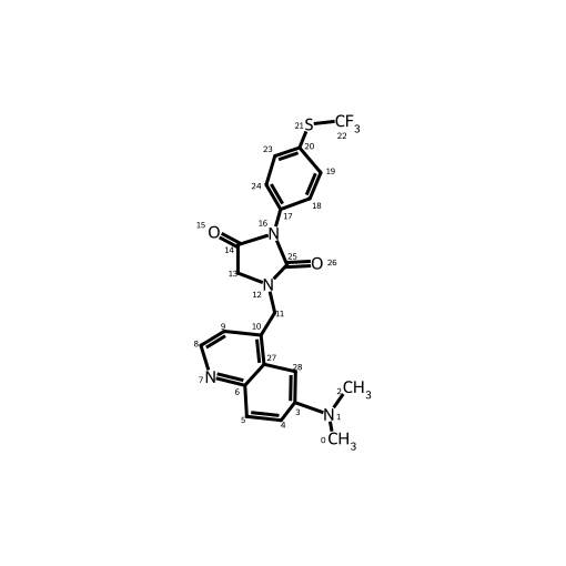 CN(C)c1ccc2nccc(CN3CC(=O)N(c4ccc(SC(F)(F)F)cc4)C3=O)c2c1